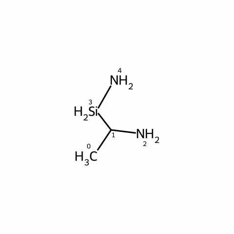 CC(N)[SiH2]N